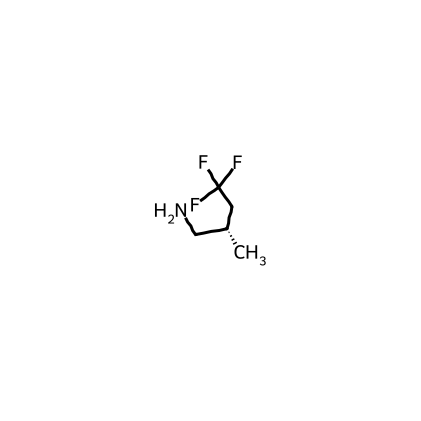 C[C@H](CN)CC(F)(F)F